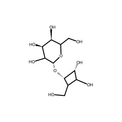 OCC1O[C@H](O[C@H]2C(CO)C(O)[C@H]2O)C(O)[C@@H](O)[C@H]1O